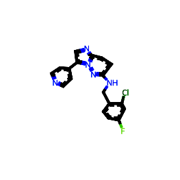 Fc1ccc(CNc2ccc3ncc(-c4ccncc4)n3n2)c(Cl)c1